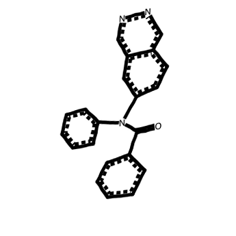 O=C(c1ccccc1)N(c1ccccc1)c1ccc2cnncc2c1